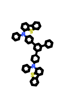 C1=CC(c2cc(-c3ccccc3)cc(-c3ccc(N(c4ccccc4)c4cccc5c4sc4ccccc45)cc3)c2)CC=C1N(c1ccccc1)c1cccc2c1sc1ccccc12